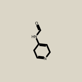 O=CNC1=CCN=CC1